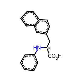 O=C(O)[C@H](Cc1ccc2ccccc2c1)Nc1ccccc1